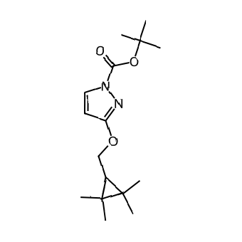 CC(C)(C)OC(=O)n1ccc(OCC2C(C)(C)C2(C)C)n1